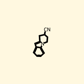 N#CC1CCn2c(cc3ccccc32)C1